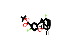 CC(C)(C)OC(=O)c1cc(C2CC2)c(OC2[C@@H]3CC4C[C@H]2CC(F)(C4)C3)cc1F